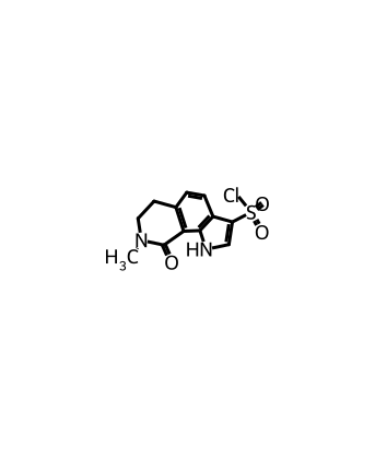 CN1CCc2ccc3c(S(=O)(=O)Cl)c[nH]c3c2C1=O